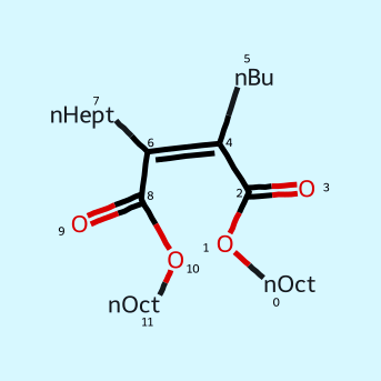 CCCCCCCCOC(=O)C(CCCC)=C(CCCCCCC)C(=O)OCCCCCCCC